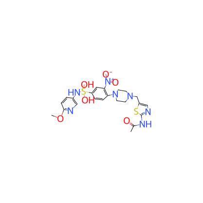 COc1ccc(NS(O)(O)c2ccc(N3CCN(Cc4cnc(NC(C)=O)s4)CC3)c([N+](=O)[O-])c2)cn1